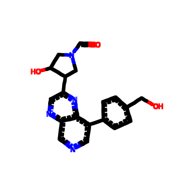 O=CN1CC(O)C(c2cnc3cncc(-c4ccc(CO)cc4)c3n2)C1